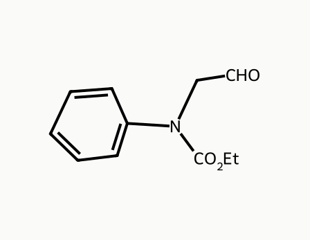 CCOC(=O)N(CC=O)c1ccccc1